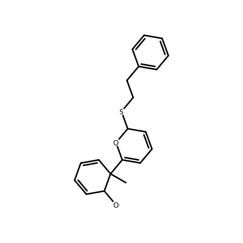 CC1(C2=CC=CC(SCCc3ccccc3)O2)C=CC=CC1[O]